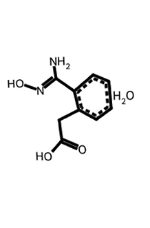 NC(=NO)c1ccccc1CC(=O)O.O